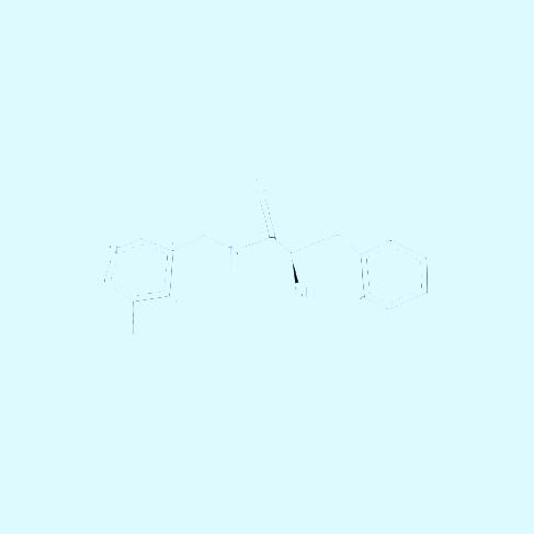 CC(C)c1cncc(CNC(=O)[C@H](N)Cc2ccccc2)c1